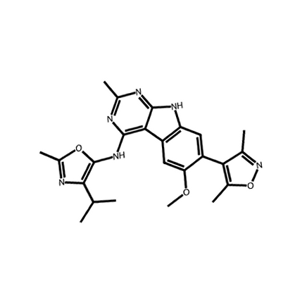 COc1cc2c(cc1-c1c(C)noc1C)[nH]c1nc(C)nc(Nc3oc(C)nc3C(C)C)c12